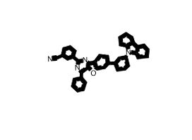 N#Cc1cccc(-c2nc(-c3ccccc3)c3oc4cc(-c5cccc(-n6c7ccccc7c7ccccc76)c5)ccc4c3n2)c1